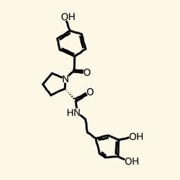 O=C(NCCc1ccc(O)c(O)c1)[C@@H]1CCCN1C(=O)c1ccc(O)cc1